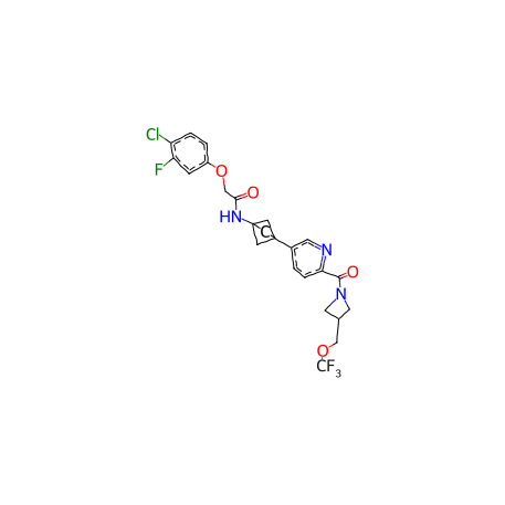 O=C(COc1ccc(Cl)c(F)c1)NC12CC(c3ccc(C(=O)N4CC(COC(F)(F)F)C4)nc3)(C1)C2